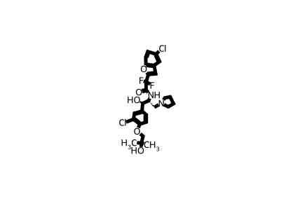 CC(C)(O)COc1ccc([C@@H](O)[C@@H](CN2CCCC2)NC(=O)C(F)(F)c2cc3cc(Cl)ccc3o2)cc1Cl